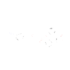 CNC(C)Cc1ccc(OCOCCS(=O)(=O)c2cccc(C3=C(c4ccccc4)C(=O)OC3)c2)cc1